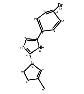 CC1=C[C@@H](c2ncc(-c3ccc(Br)cc3)[nH]2)CC1